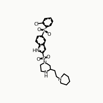 O=S(=O)(c1ccc2[nH]c(S(=O)(=O)N3CCNC(CCN4CCCCC4)C3)cc2c1)c1ccccc1Cl